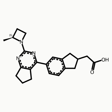 C[C@H]1CCN1c1nc2c(c(-c3ccc4c(c3)CC(CC(=O)O)C4)n1)CCC2